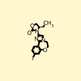 CC[C@@H]1COC(=O)N1c1cn2c(n1)-c1ccc(I)cc1OCC2